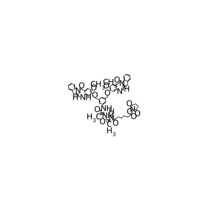 COc1cc2c(cc1OCc1cc(COc3cc4c(cc3OC)C(=O)N3c5ccccc5C[C@H]3CN4)cc(NC(=O)[C@@H](C)NC(=O)[C@H](C)NC(=O)CCCCC(=O)ON3C(=O)CCC3=O)c1)N=C[C@H]1Cc3ccccc3N1C2=O